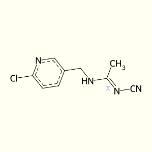 C/C(=N\C#N)NCc1ccc(Cl)nc1